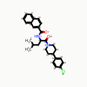 CC(C)CC(NC(=O)c1ccc2ccccc2c1)C(=O)N1CCC(c2ccc(Cl)cc2)CC1